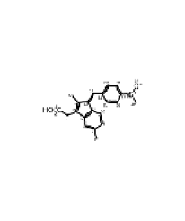 CC1=C(CC(=O)O)c2cc(C)ccc2C1=Cc1ccc([S+](C)[O-])cc1